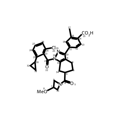 COC1CN(C(=O)C2CCc3c(-c4ccc(C(=O)O)c(C)c4)nn(C(=O)c4c(Cl)cccc4C4CC4)c3C2)C1